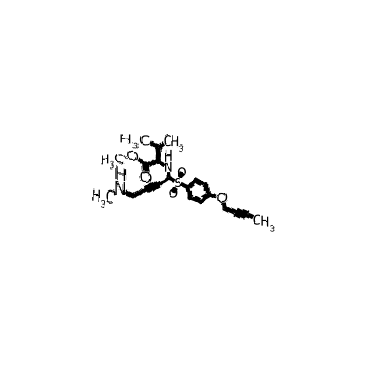 CC#CCOc1ccc(S(=O)(=O)C(C#CCNC)NC(C(=O)OC)C(C)C)cc1